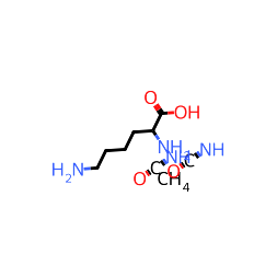 C.N=C=O.N=C=O.NCCCCC(N)C(=O)O